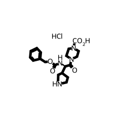 Cl.O=C(N[C@@H](C(=O)N1CCN(C(=O)O)CC1)C1CCNCC1)OCc1ccccc1